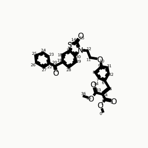 COC(=O)C(=Cc1ccc(OCCn2c(=O)sc3cc(C(=O)c4ccccc4)ccc32)cc1)C(=O)OC